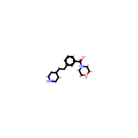 O=C(c1cccc(CCC2CCNCC2)c1)N1CCOCC1